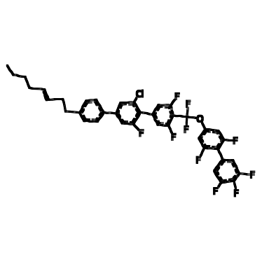 CCCC/C=C/CCc1ccc(-c2cc(F)c(-c3cc(F)c(C(F)(F)Oc4cc(F)c(-c5cc(F)c(F)c(F)c5)c(F)c4)c(F)c3)c(Cl)c2)cc1